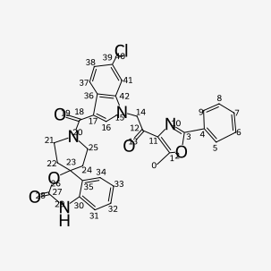 Cc1oc(-c2ccccc2)nc1C(=O)Cn1cc(C(=O)N2CCC3(CC2)OC(=O)Nc2ccccc23)c2ccc(Cl)cc21